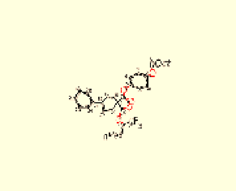 CCCCCCCCOc1ccc(OC(=O)C2(C(=O)OC(CCCCCC)C(F)(F)F)C=CC(c3ccccc3)=CC2)cc1